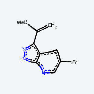 C=C(OC)c1n[nH]c2ncc(C(C)C)cc12